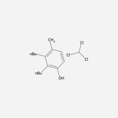 CCCCc1c(C)ccc(O)c1CCCC.ClC(Cl)Cl